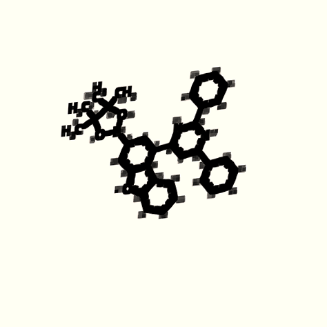 CC1(C)OB(c2cc(-c3cc(-c4ccccc4)nc(-c4ccccc4)n3)c3c(c2)oc2ccccc23)OC1(C)C